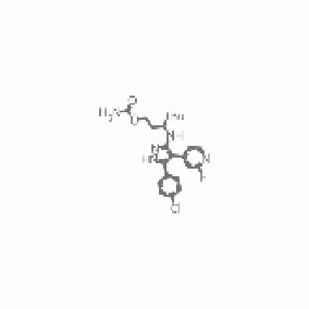 CC(C)(C)C(CCOC(N)=O)Nc1n[nH]c(-c2ccc(Cl)cc2)c1-c1ccnc(F)c1